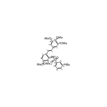 COc1cc(C=Cc2ccc(OC)c(OC)c2NS(=O)(=O)c2cccc(C(C)(C)C)c2)cc(OC)c1OC